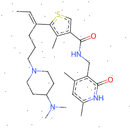 C/C=C(\CCCN1CCC(N(C)C)CC1)c1scc(C(=O)NCc2c(C)cc(C)[nH]c2=O)c1C